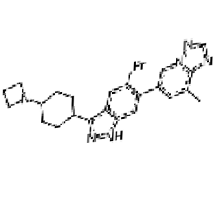 Cc1cc(-c2cc3[nH]nc(C4CCC(N5CCC5)CC4)c3cc2C(C)C)cn2ncnc12